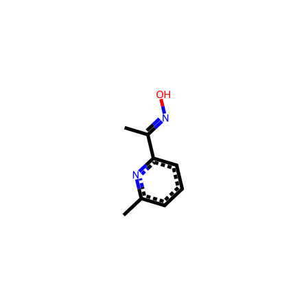 C/C(=N\O)c1cccc(C)n1